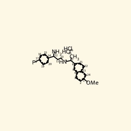 COc1ccc2cc(C(C)NCCC(N)c3ccc(F)cc3)ccc2c1.Cl.Cl